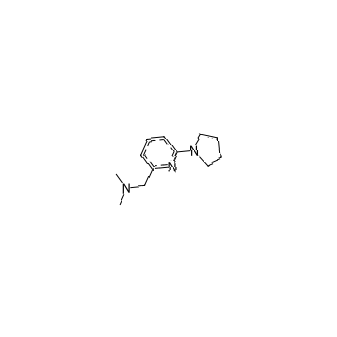 CN(C)Cc1cccc(N2CCCC2)n1